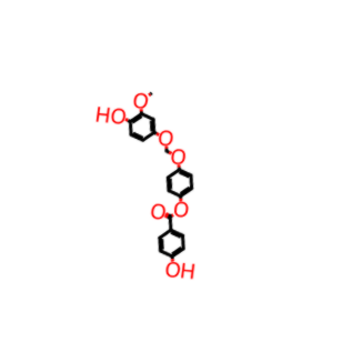 COc1cc(OCOc2ccc(OC(=O)c3ccc(O)cc3)cc2)ccc1O